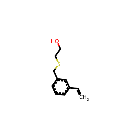 C=Cc1cccc(CSCCO)c1